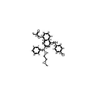 COCCON(c1ccccc1)c1nc(Nc2ccc(Cl)cc2)c2cccc(OC(C)=O)c2n1